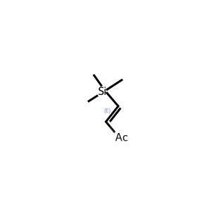 CC(=O)/C=C/[Si](C)(C)C